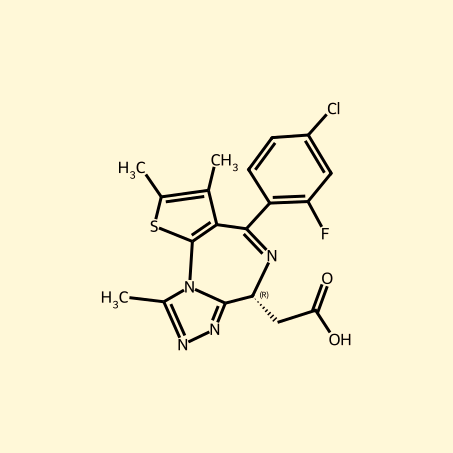 Cc1sc2c(c1C)C(c1ccc(Cl)cc1F)=N[C@H](CC(=O)O)c1nnc(C)n1-2